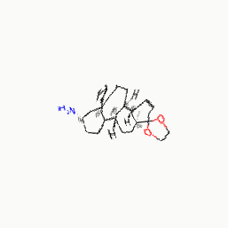 C[C@]12CC[C@@H]3C4CC[C@H](N)C[C@@H]4CC[C@H]3[C@@H]1CCC21OCCO1